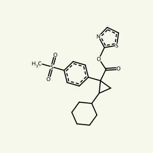 CS(=O)(=O)c1ccc(C2(C(=O)Oc3nccs3)CC2C2CCCCC2)cc1